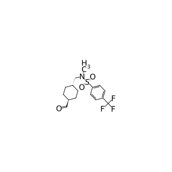 CN(C[C@H]1CC[C@H](C=O)CC1)S(=O)(=O)c1ccc(C(F)(F)F)cc1